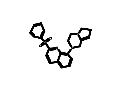 O=S(=O)(c1ccccc1)c1ccc2cccc(N3CCN4CCC=C4C3)c2n1